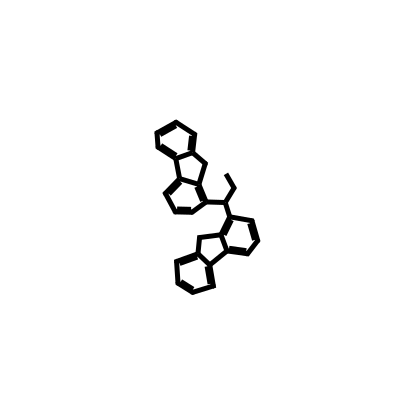 CCC(c1cccc2c1Cc1ccccc1-2)c1cccc2c1Cc1ccccc1-2